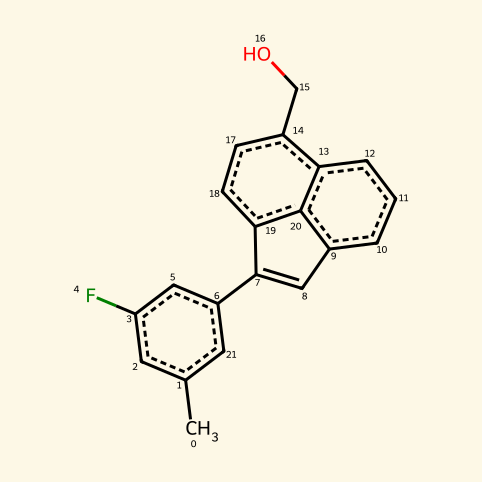 Cc1cc(F)cc(C2=Cc3cccc4c(CO)ccc2c34)c1